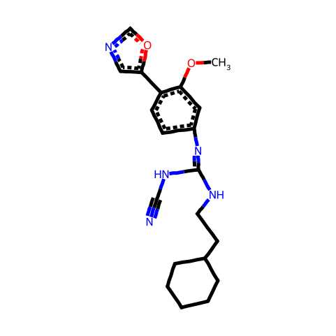 COc1cc(N=C(NC#N)NCCC2CCCCC2)ccc1-c1cnco1